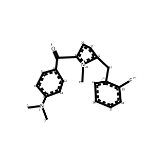 CN(C)c1ccc(C(=O)c2ccc(Cc3cc[c]cc3F)n2C)cc1